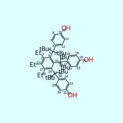 CCc1c(CC)c(C(c2ccc(O)cc2)(C(C)(C)C)C(C)(C)C)c(C(c2ccc(O)cc2)(C(C)(C)C)C(C)(C)C)c(C(c2ccc(O)cc2)(C(C)(C)C)C(C)(C)C)c1CC